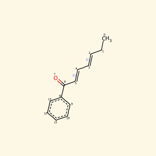 CC/C=C/C=C/C(=O)c1ccccc1